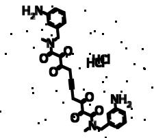 CN(Cc1cccc(N)c1)C(=O)C(=O)C(=O)CC#CCC(=O)C(=O)C(=O)N(C)Cc1cccc(N)c1.Cl.Cl